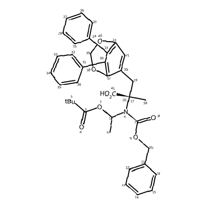 CC(OC(=O)C(C)(C)C)N(C(=O)OCc1ccccc1)[C@@](C)(Cc1cc2c(-c3ccccc3)c(-c3ccccc3)c1OCO2)C(=O)O